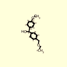 CCOCc1ccc(C(O)c2ccc(OC)cc2)cc1